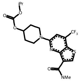 CNC(=O)c1csc2c(C(F)(F)F)cc(N3CCC(OC(=O)OC(C)C)CC3)nc12